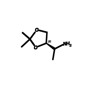 CC(N)[C@@H]1COC(C)(C)O1